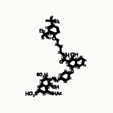 CCC(C)(C)c1ccc(OCCCCNC(=O)c2cc(Oc3ccc(N=Nc4c(S(=O)(=O)O)cc5cc(S(=O)(=O)O)cc(NC(C)=O)c5c4O)cc3)c3ccccc3c2O)c(C(C)(C)CC)c1